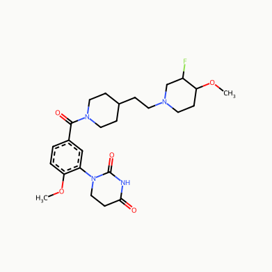 COc1ccc(C(=O)N2CCC(CCN3CCC(OC)C(F)C3)CC2)cc1N1CCC(=O)NC1=O